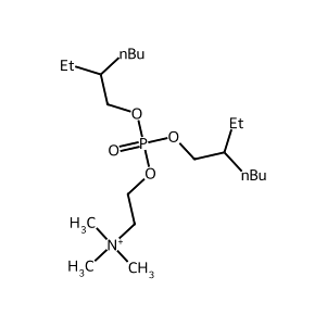 CCCCC(CC)COP(=O)(OCC[N+](C)(C)C)OCC(CC)CCCC